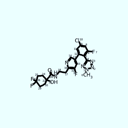 Cn1nnc(-c2c(F)cc(Cl)cc2-c2cnc(CCNC(=O)C3(O)CCC(F)(F)CC3)c(F)c2)n1